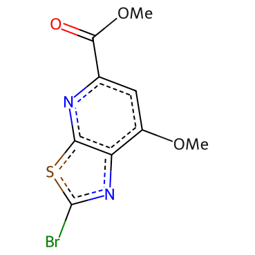 COC(=O)c1cc(OC)c2nc(Br)sc2n1